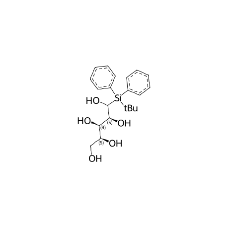 CC(C)(C)[Si](c1ccccc1)(c1ccccc1)C(O)[C@@H](O)[C@H](O)[C@@H](O)CO